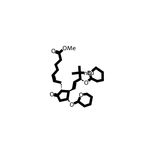 CCCCC(C)(C)[C@@H](/C=C/[C@H]1[C@H](OC2CCCCO2)CC(=O)[C@@H]1C/C=C\CCCC(=O)OC)OC1CCCCO1